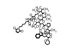 CCC(C)C(C(CC(=O)N1CCC[C@H]1C(OC)C(C)C(=O)NC(Cc1c[nH]c2ccccc12)C(=O)N1CCCCO1)OC)N(C)C(=O)C(NC(=O)C(C(C)C)N(C)CCCC(=O)NNC(=O)CCCCCN1C(=O)C=CC1=O)C(C)C